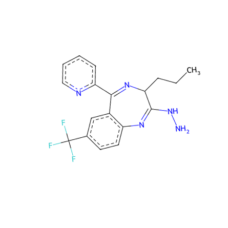 CCCC1N=C(c2ccccn2)c2cc(C(F)(F)F)ccc2N=C1NN